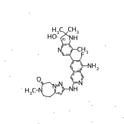 Cc1c(-c2cc3cc(Nc4cc5n(n4)CC(=O)N(C)CC5)ncc3c(N)c2F)cnc2c1NC(C)(C)[C@H]2O